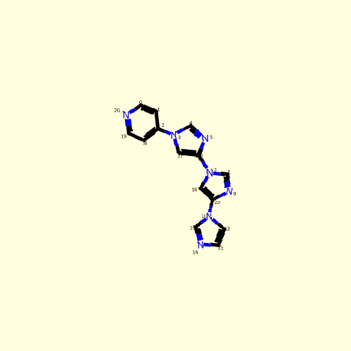 c1cc(-n2cnc(-n3cnc(-n4ccnc4)c3)c2)ccn1